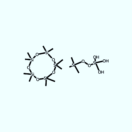 C[Si](C)(C)OO[Si](O)(O)O.C[Si]1(C)O[Si](C)(C)O[Si](C)(C)O[Si](C)(C)O[Si](C)(C)O1